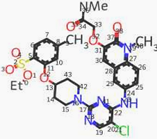 CCOS(=O)(=O)c1ccc(C)cc1OC1CCN(c2ncc(Cl)c(Nc3ccc4c(c3)cc(OCC(=O)NC)c(=O)n4C)n2)CC1